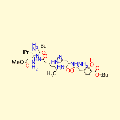 CC[C@H](C)[C@H](N)C(=O)N(NC(=O)CCCCC(C)CNC(=O)[C@H](Cc1c[nH]cn1)NC(=O)[C@@H](N)Cc1ccc(C(=O)OC(C)(C)C)c(O)c1)[C@@H](CC(C)C)[C@@H](N)CC(=O)OC